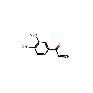 C=CC(=O)c1ccc(OC(C)=O)c(OC)c1